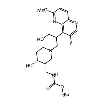 COc1ccc2ncc(F)c(C(CO)CN3CC[C@@H](O)[C@@H](CNC(=O)OC(C)(C)C)C3)c2n1